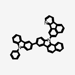 c1ccc(-n2c3ccccc3c3cc(-c4ccc5c(c4)c4ccc6ccccc6c4n5-c4cc5c6c(cccc6c4)-c4cccnc4-5)ccc32)cc1